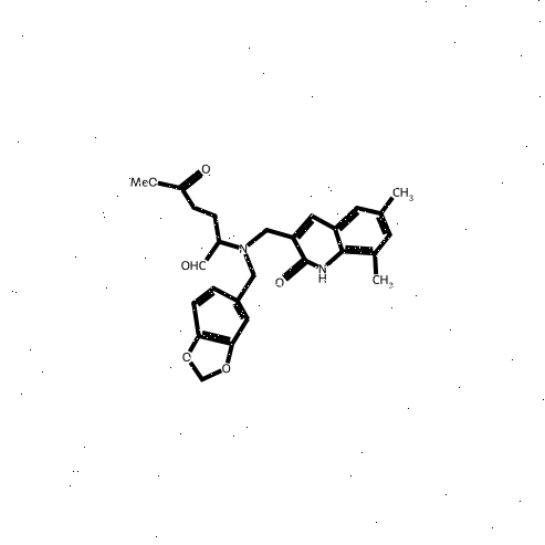 COC(=O)CCC(C=O)N(Cc1ccc2c(c1)OCO2)Cc1cc2cc(C)cc(C)c2[nH]c1=O